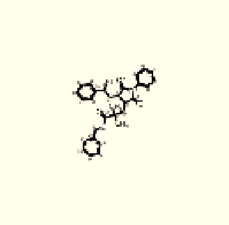 CCC(CC1C(=O)N(c2ccccc2)C(=O)C1CC(C)(C)C(=O)OCc1ccccc1)c1ccccc1